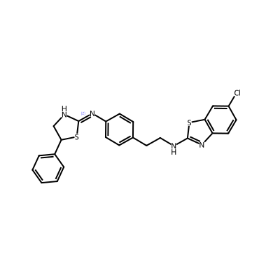 Clc1ccc2nc(NCCc3ccc(/N=C4/NCC(c5ccccc5)S4)cc3)sc2c1